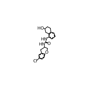 O=C(Nc1cccc2c1CC(O)CC2)NC1COc2ccc(Cl)cc2C1